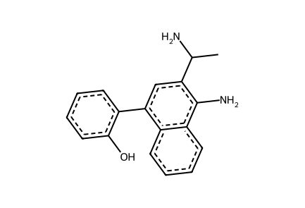 CC(N)c1cc(-c2ccccc2O)c2ccccc2c1N